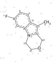 Cc1c2n(c3cc(F)ccc13)CCOC2